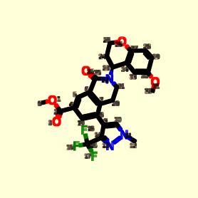 COC(=O)c1cc2c(c(-c3cn(C)nc3C(F)(F)F)c1)CCN([C@H]1CCOc3ccc(OC)cc31)C2=O